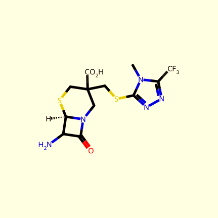 Cn1c(SCC2(C(=O)O)CS[C@@H]3C(N)C(=O)N3C2)nnc1C(F)(F)F